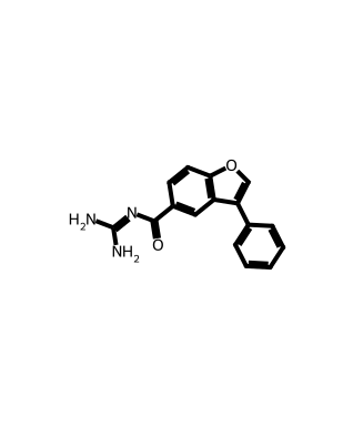 NC(N)=NC(=O)c1ccc2occ(-c3ccccc3)c2c1